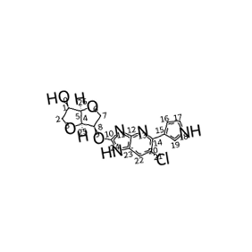 O[C@@H]1CO[C@H]2[C@@H]1OC[C@H]2Oc1nc2nc(-c3cc[nH]c3)c(Cl)cc2[nH]1